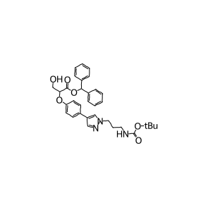 CC(C)(C)OC(=O)NCCCn1cc(-c2ccc(OC(CO)C(=O)OC(c3ccccc3)c3ccccc3)cc2)cn1